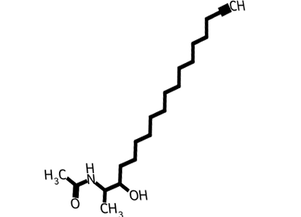 C#CCCCCCCCCCCCCCC(O)C(C)NC(C)=O